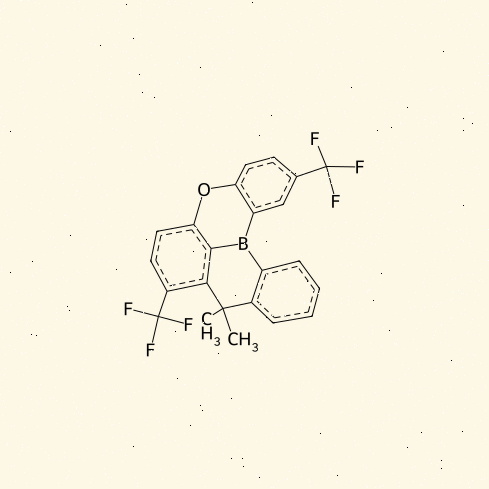 CC1(C)c2ccccc2B2c3cc(C(F)(F)F)ccc3Oc3ccc(C(F)(F)F)c1c32